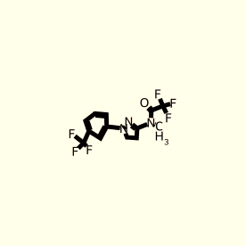 CN(C(=O)C(F)(F)F)C1=NN(c2cccc(C(F)(F)F)c2)CC1